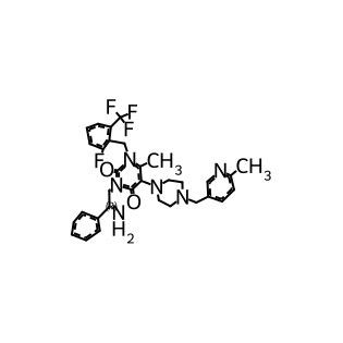 Cc1ccc(CN2CCN(c3c(C)n(Cc4c(F)cccc4C(F)(F)F)c(=O)n(C[C@H](N)c4ccccc4)c3=O)CC2)cn1